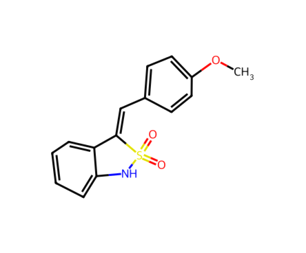 COc1ccc(C=C2c3ccccc3NS2(=O)=O)cc1